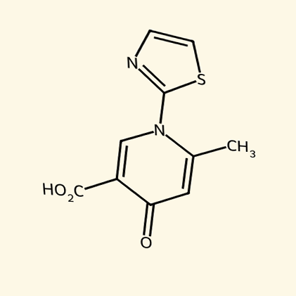 Cc1cc(=O)c(C(=O)O)cn1-c1nccs1